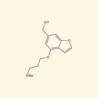 COCCCOc1cc(CO)cc2occc12